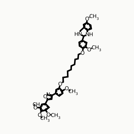 COc1ccc2c(c1)CNC(c1ccc(OCCCCCCCCCCOc3cc(-c4cc(-c5cc(OC)c(OC)c(OC)c5)on4)ccc3OC)c(OC)c1)N2